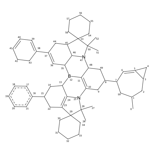 CC1CC2CC2=CC(C2CC3=C4B(C5CC(c6ccccc6)CC6=C5N3C(C)(C)C63CCCCC3)C3C=C(C5=CC=CCC5)CC5C3N(C4C2)C(C)(C)C52CCCCC2)C1